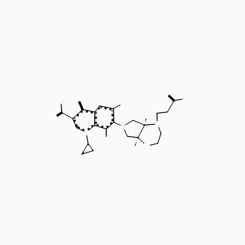 CC(=O)CCN1CCO[C@@H]2CN(c3c(F)cc4c(=O)c(C(=O)O)cn(C5CC5)c4c3F)C[C@@H]21